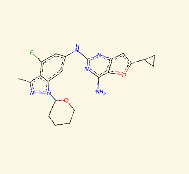 Cc1nn(C2CCCCO2)c2cc(Nc3nc(N)c4oc(C5CC5)cc4n3)cc(F)c12